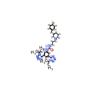 CC(C)n1nnnc1-c1cc(NC(=O)NCCCN2CCC[C@@H](Cc3ccc(F)cc3)C2)cc(-c2nnnn2C(C)C)c1